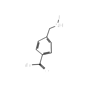 CC(C)C(=O)c1ccc(CNI)cc1